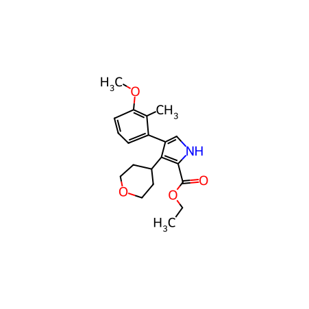 CCOC(=O)c1[nH]cc(-c2cccc(OC)c2C)c1C1CCOCC1